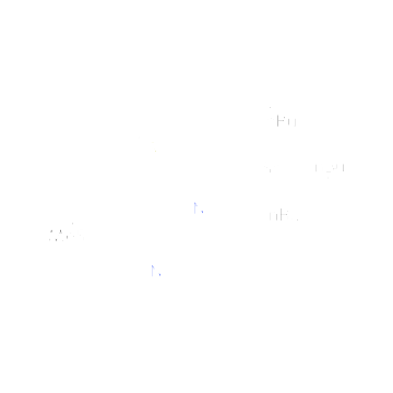 CCC[CH2][Sn]([CH2]CCC)([CH2]CCC)[c]1csc2c(SC)nc(C)n12